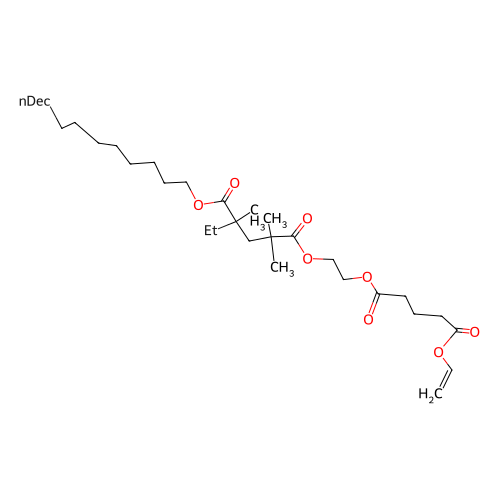 C=COC(=O)CCCC(=O)OCCOC(=O)C(C)(C)CC(C)(CC)C(=O)OCCCCCCCCCCCCCCCCCC